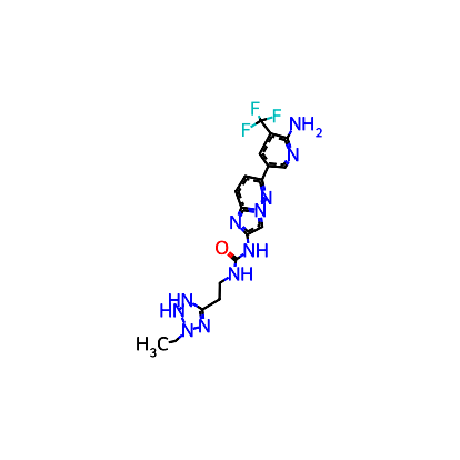 CCN1N=C(CCNC(=O)Nc2cn3nc(-c4cnc(N)c(C(F)(F)F)c4)ccc3n2)NN1